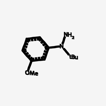 COc1cccc(N(N)C(C)(C)C)c1